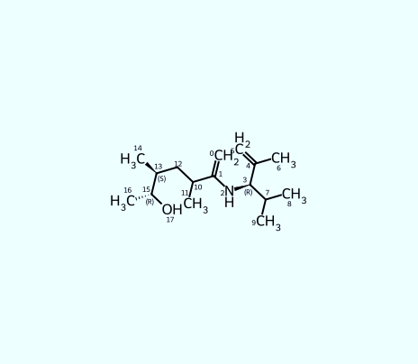 C=C(N[C@@H](C(=C)C)C(C)C)C(C)C[C@H](C)[C@@H](C)O